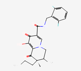 COCC[C@]1(C)C(=O)c2c(O)c(=O)c(C(=O)NCc3c(F)cccc3F)cn2CC1OC